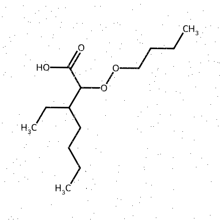 CCCCOOC(C(=O)O)C(CC)CCCC